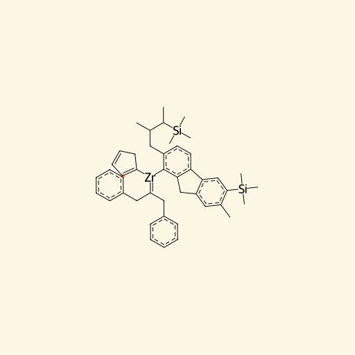 Cc1cc2c(cc1[Si](C)(C)C)-c1ccc(CC(C)C(C)[Si](C)(C)C)[c]([Zr]([C]3=CC=CC3)=[C](Cc3ccccc3)Cc3ccccc3)c1C2